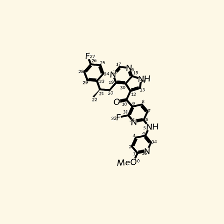 COc1ccc(Nc2ccc(C(=O)c3c[nH]c4ncnc(C[C@@H](C)c5ccc(F)cc5)c34)c(F)n2)cn1